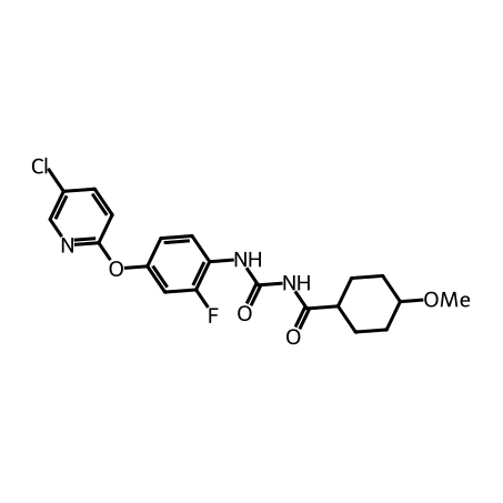 COC1CCC(C(=O)NC(=O)Nc2ccc(Oc3ccc(Cl)cn3)cc2F)CC1